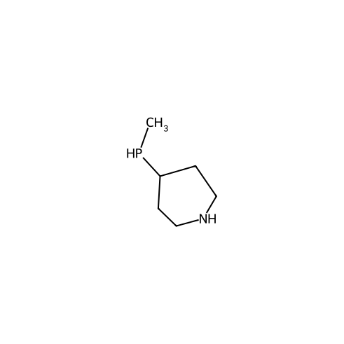 CPC1CCNCC1